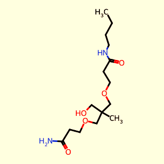 CCCCNC(=O)CCOCC(C)(CO)COCCC(N)=O